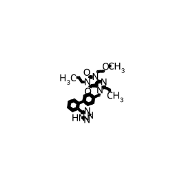 CCCn1c(=O)c2c(nc(CC)n2Cc2ccc(-c3ccccc3-c3nnn[nH]3)cc2)n(CCOC)c1=O